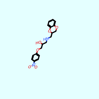 O=[N+]([O-])c1ccc(OCC(O)CNCC2COc3ccccc3O2)cc1